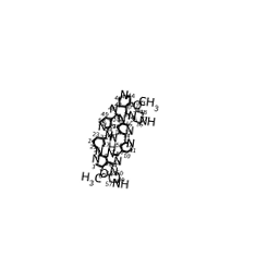 COc1cncc2nc(-c3ccnc(-c4ncccc4NN(c4cccnc4)c4cc(-c5nc(N6CCNCC6)c6c(OC)cncc6n5)ccn4)c3)nc(N3CCNCC3)c12